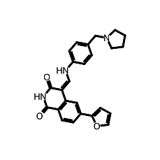 O=C1NC(=O)c2ccc(-c3ccco3)cc2C1=CNc1ccc(CN2CCCC2)cc1